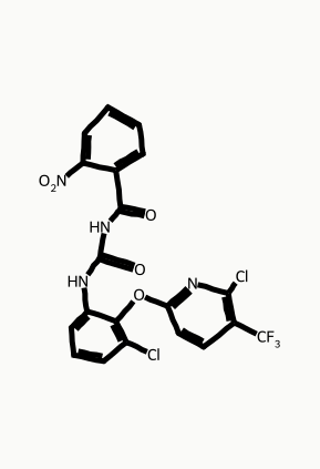 O=C(NC(=O)c1ccccc1[N+](=O)[O-])Nc1cccc(Cl)c1Oc1ccc(C(F)(F)F)c(Cl)n1